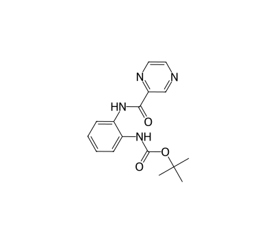 CC(C)(C)OC(=O)Nc1ccccc1NC(=O)c1cnccn1